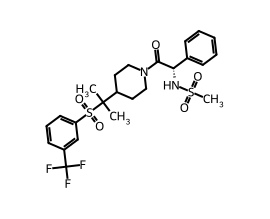 CC(C)(C1CCN(C(=O)[C@@H](NS(C)(=O)=O)c2ccccc2)CC1)S(=O)(=O)c1cccc(C(F)(F)F)c1